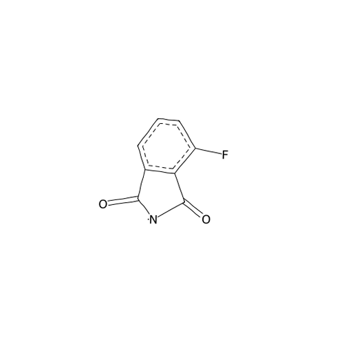 O=C1[N]C(=O)c2c(F)cccc21